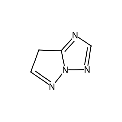 C1=Nn2ncnc2C1